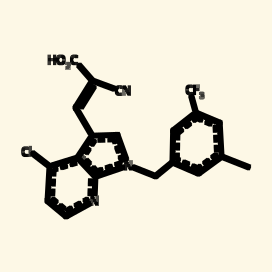 Cc1cc(Cn2cc(/C=C(\C#N)C(=O)O)c3c(Cl)ccnc32)cc(C(F)(F)F)c1